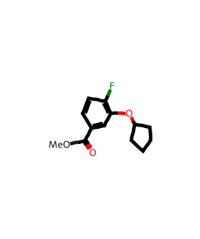 COC(=O)c1ccc(F)c(OC2CCCC2)c1